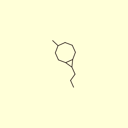 CCCC1C2CCCC(C)CCC12